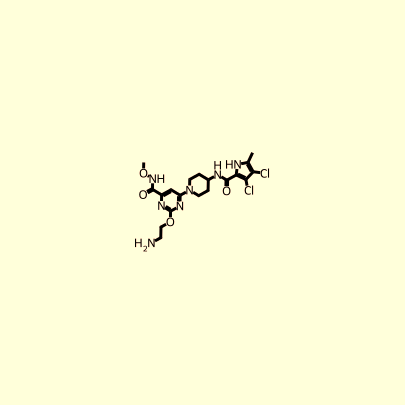 CONC(=O)c1cc(N2CCC(NC(=O)c3[nH]c(C)c(Cl)c3Cl)CC2)nc(OCCN)n1